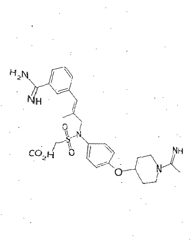 CC(=N)N1CCC(Oc2ccc(N(C/C(C)=C/c3cccc(C(=N)N)c3)S(=O)(=O)CC(=O)O)cc2)CC1